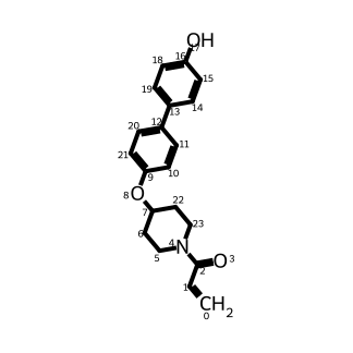 C=CC(=O)N1CCC(Oc2ccc(-c3ccc(O)cc3)cc2)CC1